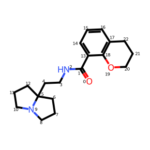 O=C(NCCC12CCCN1CCC2)c1cccc2c1OCCC2